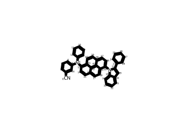 N#Cc1cccc(N(c2ccccc2)c2ccc3ccc4c(-n5c(-c6ccccc6)cc6ccccc65)ccc5ccc2c3c54)c1